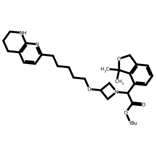 CC(C)(C)OC(=O)C(c1cccc2c1C(C)(C)OC2)N1CC(OCCCCCc2ccc3c(n2)NCCC3)C1